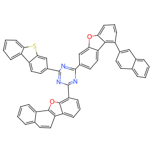 c1ccc2cc(-c3cccc4oc5cc(-c6nc(-c7ccc8c(c7)sc7ccccc78)nc(-c7cccc8c7oc7c9ccccc9ccc87)n6)ccc5c34)ccc2c1